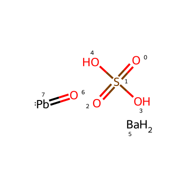 O=S(=O)(O)O.[BaH2].[O]=[Pb]